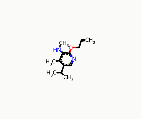 C=CCOc1ncc(C(C)C)c(C)c1NC